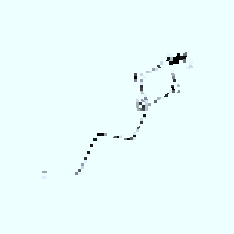 FCCC[SiH]1O[SiH2]O1